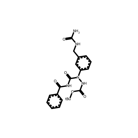 CC(C)(C)OC(=O)NN(C(=O)NC(=O)c1ccccc1)c1cccc(CNC(N)=O)c1